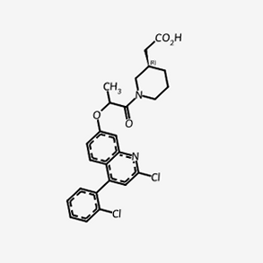 CC(Oc1ccc2c(-c3ccccc3Cl)cc(Cl)nc2c1)C(=O)N1CCC[C@H](CC(=O)O)C1